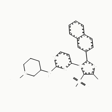 CCc1nc(-c2ccc3ccccc3c2)n(-c2ccnc(NC3CCCN(C=O)C3)n2)c1S(C)(=O)=O